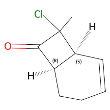 CC1(Cl)C(=O)[C@@H]2CCC=C[C@@H]21